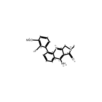 COc1cccc(-c2cccc3c(N)c4c(nc23)CN(C)C4=O)c1F